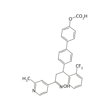 Cc1cc(/C(CC(c2ccc(-c3ccc(OC(=O)O)cc3)cc2)c2ccccc2C(F)(F)F)=N/O)ccn1